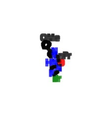 CCCC(C(=O)Nc1cnc(Br)cn1)n1ccc(-c2ccc(OC)cc2)n1